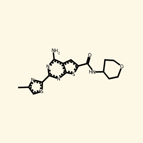 Cc1csc(-c2nc(N)c3cc(C(=O)NC4CCOCC4)sc3n2)n1